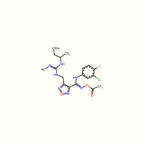 COCC(C)N/C(=N/C#N)NCc1nonc1/C(=N/OC(=O)C(F)(F)F)Nc1ccc(F)c(Cl)c1